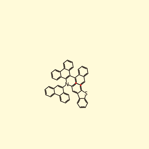 c1ccc2c(-c3c(N(c4ccc5sc6ccccc6c5c4)c4cc5ccccc5c5ccccc45)c4ccccc4c4ccccc34)cccc2c1